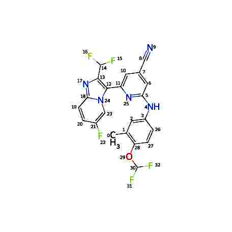 Cc1cc(Nc2cc(C#N)cc(-c3c(C(F)F)nc4ccc(F)cn34)n2)ccc1OC(F)F